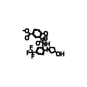 COC(=O)c1ccc(OC)c(S(=O)(=O)Nc2cc(C(F)(F)F)ccc2N2CCC(O)C2)c1